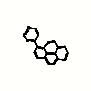 c1cc2ccc3ccc(-c4ccnnn4)c4ccc(c1)c2c34